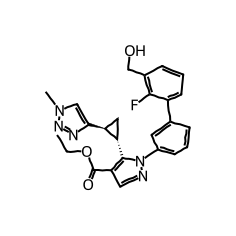 CCOC(=O)c1cnn(-c2cccc(-c3cccc(CO)c3F)c2)c1[C@H]1C[C@@H]1c1cn(C)nn1